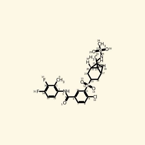 Cc1c(NC(=O)c2ccc(Cl)c(S(=O)(=O)C3CC4C[C@H](C)[C@@H](C3)[C@@]4(O)CNS(C)(=O)=O)c2)ccc(F)c1F